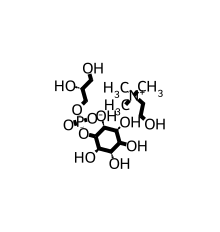 C[N+](C)(C)CCO.O=P([O-])(OC[C@H](O)CO)OC1[C@H](O)[C@H](O)C(O)[C@H](O)[C@H]1O